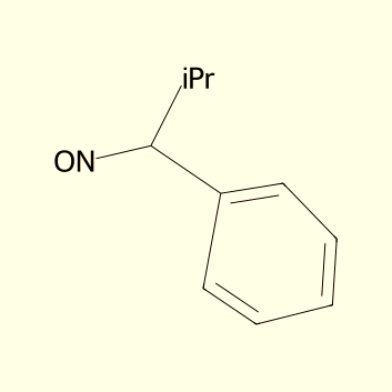 CC(C)C(N=O)c1ccccc1